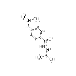 CC(C)=NNC(=O)c1ccc(CN(C)C)cc1